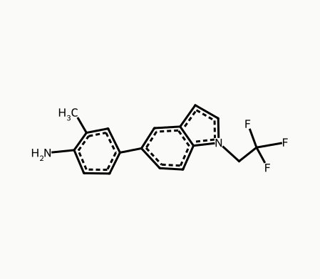 Cc1cc(-c2ccc3c(ccn3CC(F)(F)F)c2)ccc1N